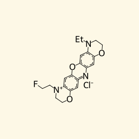 CCN1CCOc2cc3c(cc21)Oc1cc2c(cc1=N3)OCC[N+]=2CCF.[Cl-]